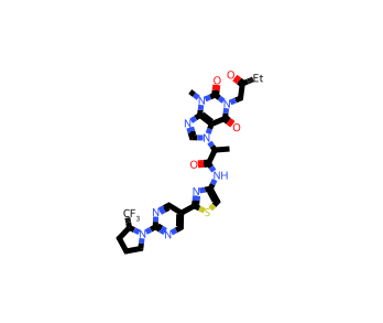 CCC(=O)Cn1c(=O)c2c(ncn2C(C)C(=O)Nc2csc(-c3cnc(N4CCCC4C(F)(F)F)nc3)n2)n(C)c1=O